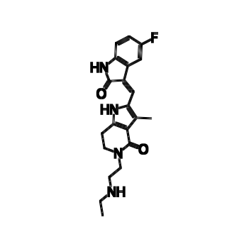 CCNCCN1CCc2[nH]c(C=C3C(=O)Nc4ccc(F)cc43)c(C)c2C1=O